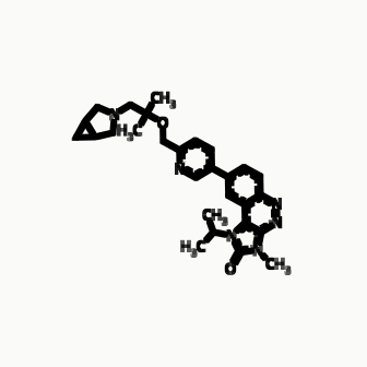 CC(C)n1c(=O)n(C)c2nnc3ccc(-c4ccc(COC(C)(C)CN5CC6CC6C5)nc4)cc3c21